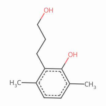 Cc1ccc(C)c(CCCO)c1O